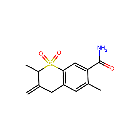 C=C1Cc2cc(C)c(C(N)=O)cc2S(=O)(=O)C1C